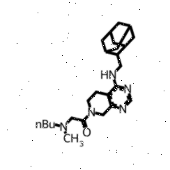 CCCCN(C)CC(=O)N1CCc2c(ncnc2NCC2C3CC4CC(C3)CC2C4)C1